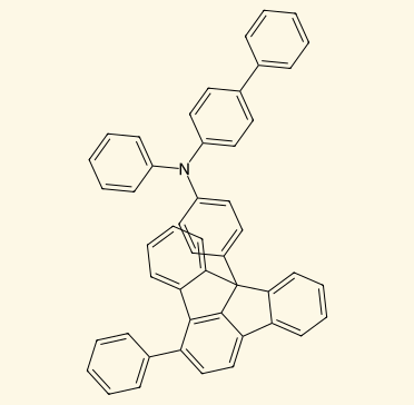 c1ccc(-c2ccc(N(c3ccccc3)c3ccc(C45c6ccccc6-c6ccc(-c7ccccc7)c(c64)-c4ccccc45)cc3)cc2)cc1